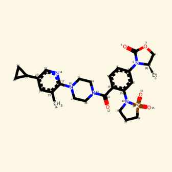 CC[C@@H]1COC(=O)N1c1ccc(C(=O)N2CCN(c3ncc(C4CC4)cc3C)CC2)c(N2CCCS2(=O)=O)c1